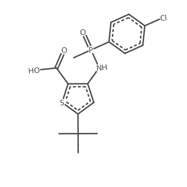 CC(C)(C)c1cc(NP(C)(=O)c2ccc(Cl)cc2)c(C(=O)O)s1